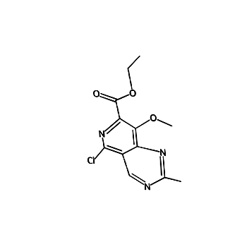 CCOC(=O)c1nc(Cl)c2cnc(C)nc2c1OC